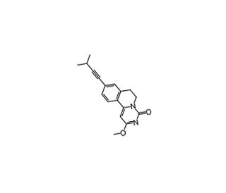 COc1cc2n(c(=O)n1)CCc1cc(C#CC(C)C)ccc1-2